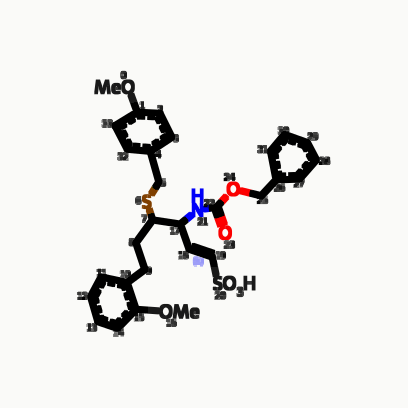 COc1ccc(CSC(CCc2ccccc2OC)C(/C=C/S(=O)(=O)O)NC(=O)OCc2ccccc2)cc1